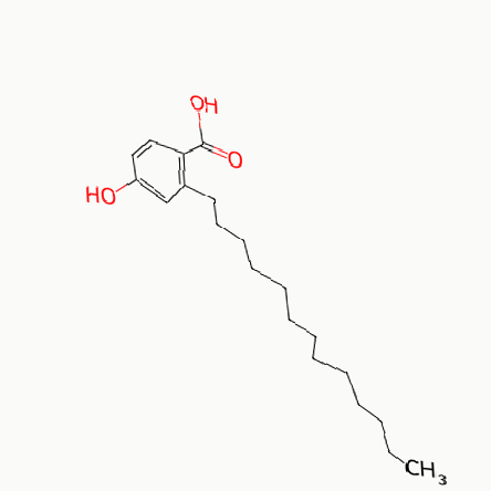 CCCCCCCCCCCCCc1cc(O)ccc1C(=O)O